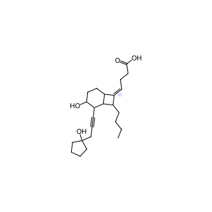 CCCCC1/C(=C/CCC(=O)O)C2CCC(O)C(C#CCC3(O)CCCC3)C12